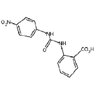 O=C(Nc1ccc([N+](=O)[O-])cc1)Nc1ccccc1C(=O)O